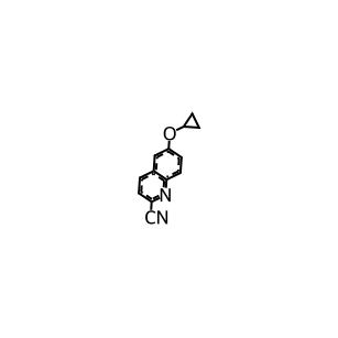 N#Cc1ccc2cc(OC3CC3)ccc2n1